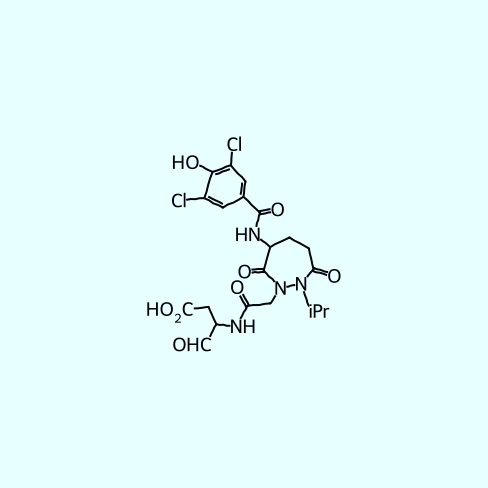 CC(C)N1C(=O)CCC(NC(=O)c2cc(Cl)c(O)c(Cl)c2)C(=O)N1CC(=O)NC(C=O)CC(=O)O